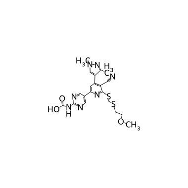 COCCSCSc1nc(-c2cnc(NC(=O)O)nc2)cc(-c2cn(C)nc2C)c1C#N